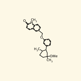 COC1(C)CCC(C)C(c2cccc(OCc3ccc4c(ccc(=O)n4C)c3)c2)C1